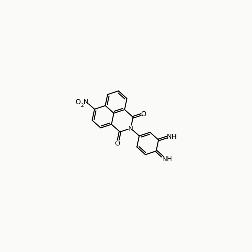 N=C1C=CC(N2C(=O)c3cccc4c([N+](=O)[O-])ccc(c34)C2=O)=CC1=N